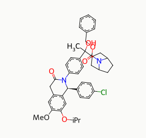 COc1cc2c(cc1OC(C)C)[C@H](c1ccc(Cl)cc1)N(c1ccc(C(C)(O)C3CC4CCC(C3)N4C(=O)OCc3ccccc3)cc1)C(=O)C2